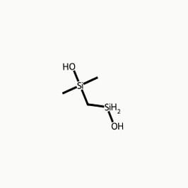 C[Si](C)(O)C[SiH2]O